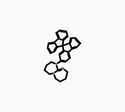 c1ccc2c(c1)-c1ccccc1C21c2ccccc2-c2ccc(N3CCCCN4CCCCN=C43)cc21